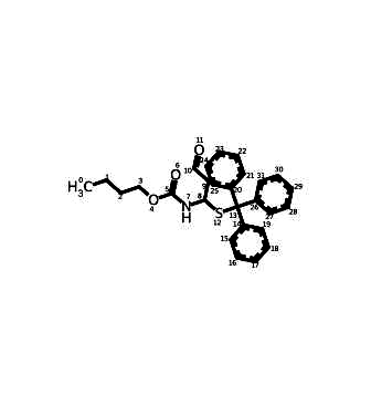 CCCCOC(=O)NC(CC=O)SC(c1ccccc1)(c1ccccc1)c1ccccc1